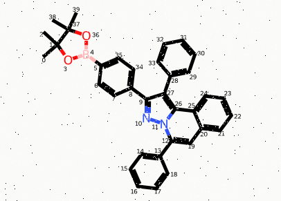 CC1(C)OB(c2ccc(-c3nn4c(-c5ccccc5)cc5ccccc5c4c3-c3ccccc3)cc2)OC1(C)C